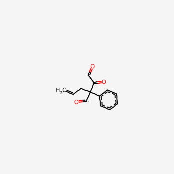 C=CCC([C]=O)(C(=O)C=O)c1ccccc1